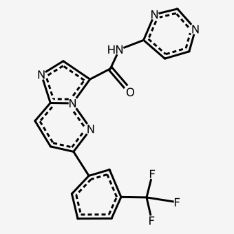 O=C(Nc1ccncn1)c1cnc2ccc(-c3cccc(C(F)(F)F)c3)nn12